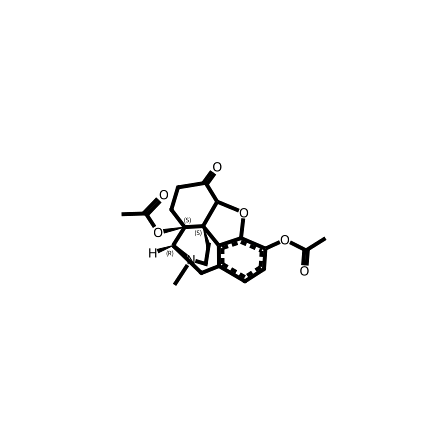 CC(=O)Oc1ccc2c3c1OC1C(=O)CC[C@@]4(OC(C)=O)[C@@H](C2)N(C)CC[C@]314